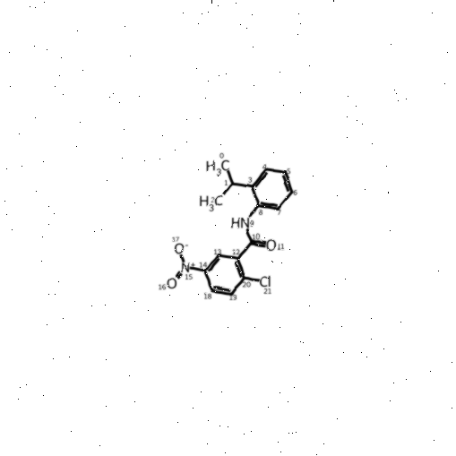 CC(C)c1ccccc1NC(=O)c1cc([N+](=O)[O-])ccc1Cl